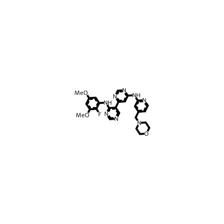 COc1cc(Nc2ncncc2-c2cc(Nc3cc(CN4CCOCC4)ccn3)ncn2)c(F)c(OC)c1